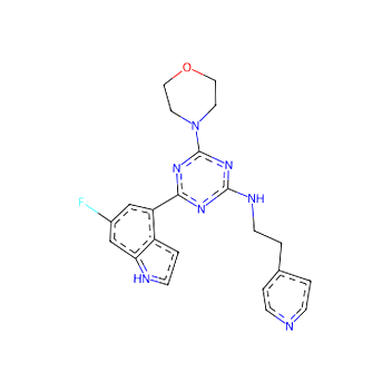 Fc1cc(-c2nc(NCCc3ccncc3)nc(N3CCOCC3)n2)c2cc[nH]c2c1